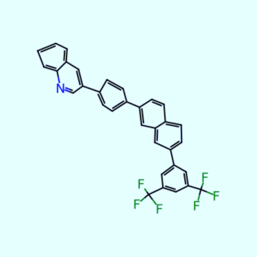 FC(F)(F)c1cc(-c2ccc3ccc(-c4ccc(-c5cnc6ccccc6c5)cc4)cc3c2)cc(C(F)(F)F)c1